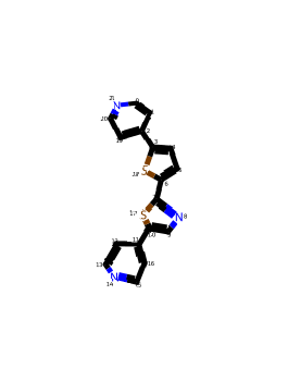 c1cc(-c2ccc(-c3ncc(-c4ccncc4)s3)s2)ccn1